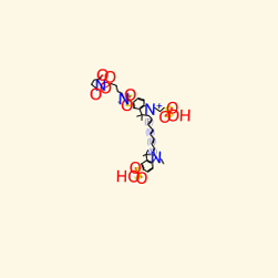 CCN1/C(=C/C=C/C=C/C=C/C2=[N+](CCCS(=O)(=O)O)c3ccc(S(=O)(=O)N(C)CCCC(=O)ON4C(=O)CCC4=O)cc3C2(C)C)C(C)(C)c2cc(S(=O)(=O)O)ccc21